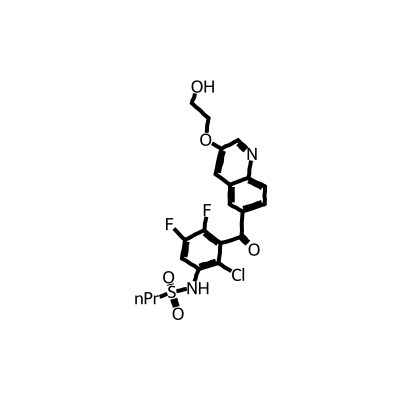 CCCS(=O)(=O)Nc1cc(F)c(F)c(C(=O)c2ccc3ncc(OCCO)cc3c2)c1Cl